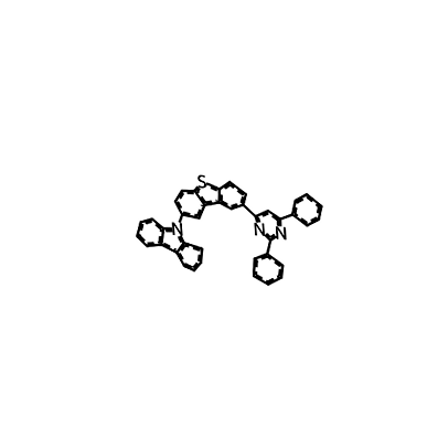 c1ccc(-c2cc(-c3ccc4sc5ccc(-n6c7ccccc7c7ccccc76)cc5c4c3)nc(-c3ccccc3)n2)cc1